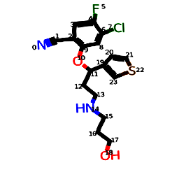 N#Cc1cc(F)c(Cl)cc1OC(CCNCCCO)c1ccsc1